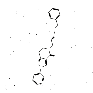 O=C1c2cn(-c3cccnc3)nc2CCN1C/C=N/OCc1ccccc1